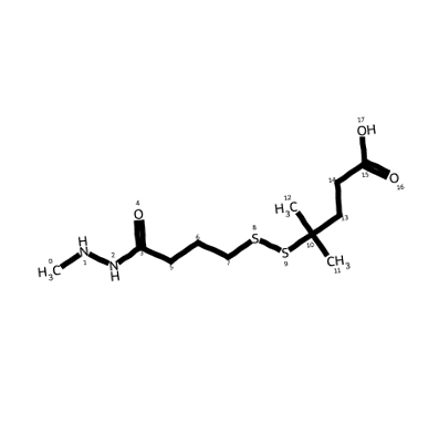 CNNC(=O)CCCSSC(C)(C)CCC(=O)O